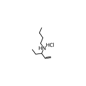 C=CC(CC)NCCCC.Cl